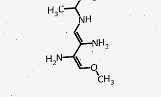 CO/C=C(N)\C(N)=C\NC(C)C